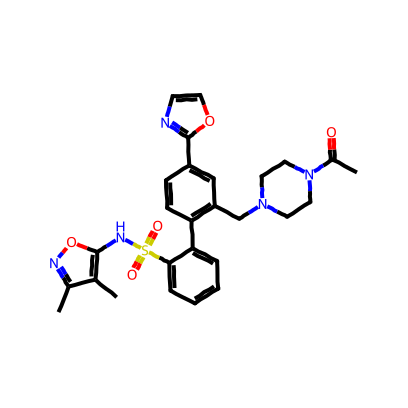 CC(=O)N1CCN(Cc2cc(-c3ncco3)ccc2-c2ccccc2S(=O)(=O)Nc2onc(C)c2C)CC1